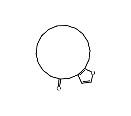 O=C1CCCCCCCCCCCCCCc2occc2C1